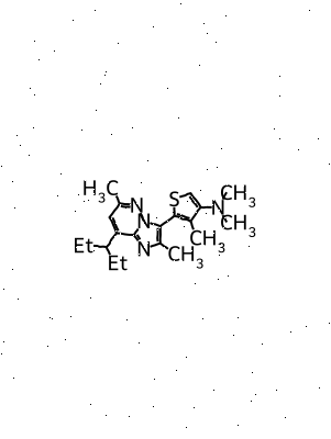 CCC(CC)c1cc(C)nn2c(-c3scc(N(C)C)c3C)c(C)nc12